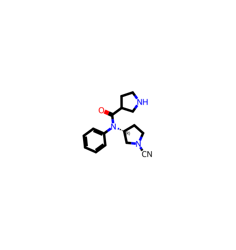 N#CN1CC[C@@H](N(C(=O)C2CCNC2)c2ccccc2)C1